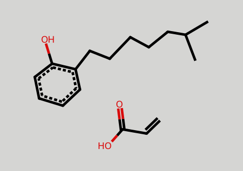 C=CC(=O)O.CC(C)CCCCCc1ccccc1O